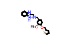 CCOc1cc(CNCc2nc3ccccc3[nH]2)ccc1OCc1cccs1